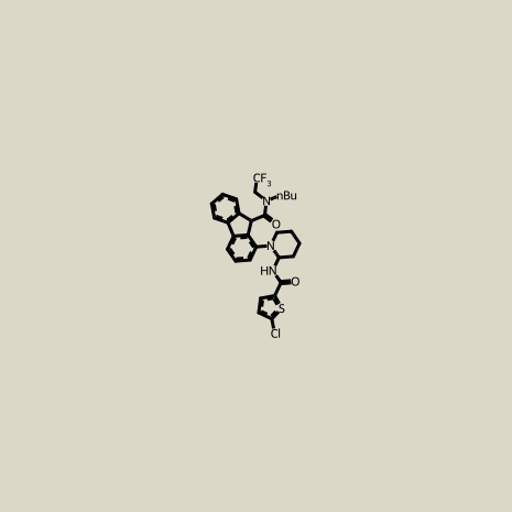 CCCCN(CC(F)(F)F)C(=O)C1c2ccccc2-c2cccc(N3CCCCC3NC(=O)c3ccc(Cl)s3)c21